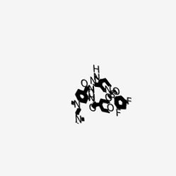 CN(C)CCN(C)c1ccc(C(=O)Nc2n[nH]c3c2CN(S(=O)(=O)c2cc(F)cc(F)c2)CC3)c(NC(=O)C2CCOCC2)c1